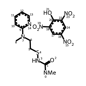 CNC(=O)NSCCN(C)c1ccccn1.O=[N+]([O-])c1cc([N+](=O)[O-])c(O)c([N+](=O)[O-])c1